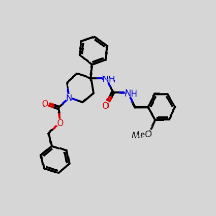 COc1ccccc1CNC(=O)NC1(c2ccccc2)CCN(C(=O)OCc2ccccc2)CC1